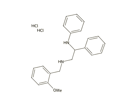 COc1ccccc1CNCC(Nc1ccccc1)c1ccccc1.Cl.Cl